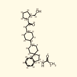 CC(=O)N[C@H]1CC2(CCN(C3CCN(CC(=O)N4CCC[C@H]4CO)CC3)CC2)c2ccccc21